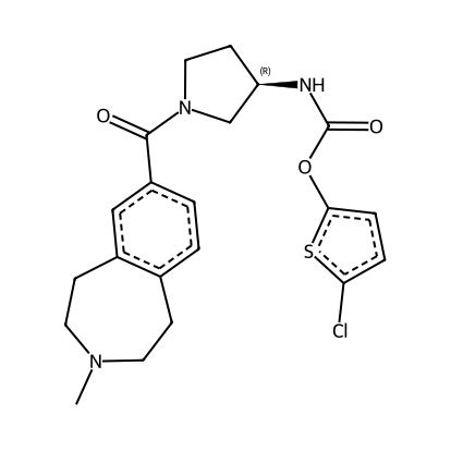 CN1CCc2ccc(C(=O)N3CC[C@@H](NC(=O)Oc4ccc(Cl)s4)C3)cc2CC1